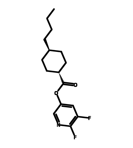 CCCC[C@H]1CC[C@H](C(=O)Oc2cnc(F)c(F)c2)CC1